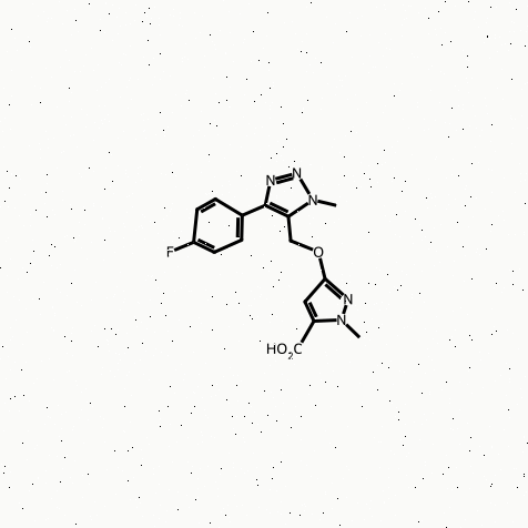 Cn1nc(OCc2c(-c3ccc(F)cc3)nnn2C)cc1C(=O)O